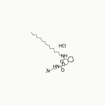 CCCCCCCCCCCCCCNC(=O)c1ccccc1COC(=O)NCCCN(C)C.Cl